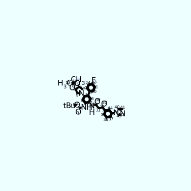 CC(C)(C)OC(=O)Nc1cc(N2CC3OC(C)(C)OC3C2)c(-c2ccc(F)cc2)cc1NC(=O)CC(=O)c1cccc(-n2ccnc2)c1